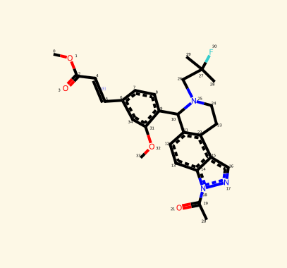 COC(=O)/C=C/c1ccc(C2c3ccc4c(cnn4C(C)=O)c3CCN2CC(C)(C)F)c(OC)c1